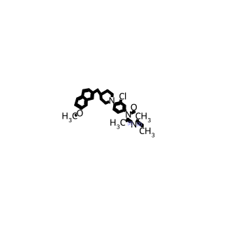 C/C=C(C)\N=C(\C)N(C=O)c1ccc(N2CCC(Cc3ccc4ccc(OC)cc4c3)CC2)c(Cl)c1